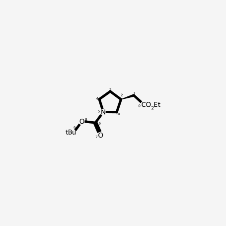 CCOC(=O)C[C@@H]1CCN(C(=O)OC(C)(C)C)C1